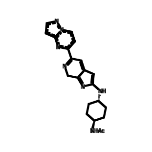 CC(=O)N[C@H]1CC[C@H](NC2=CC3=CC(c4ccn5nccc5n4)=NCC3=N2)CC1